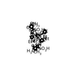 CCN(CC)c1ccc(/N=N/c2sc3c(c2S(=O)(=O)O)CC(C)(C)CC3=O)c(Nc2nc(Nc3cc(N(CC)CC)ccc3/N=N/c3sc4c(c3S(=O)(=O)O)CC(C)(C)CC4=O)nc(SCc3ccccc3)n2)c1